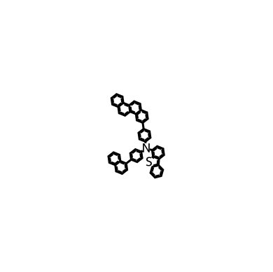 c1ccc2c(-c3ccc(N(c4ccc(-c5ccc6ccc7c8ccccc8ccc7c6c5)cc4)c4cccc5c4sc4ccccc45)cc3)cccc2c1